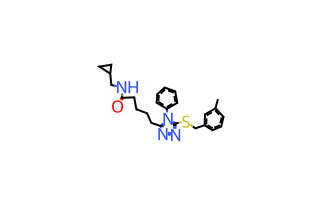 Cc1cccc(CSc2nnc(CCCCC(=O)NCC3CC3)n2-c2ccccc2)c1